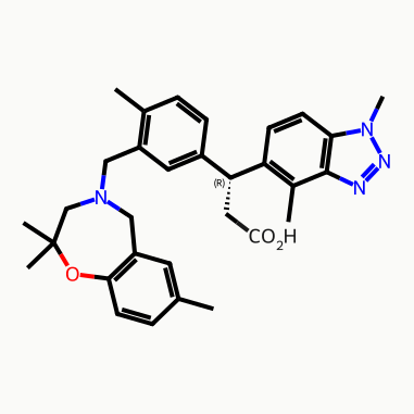 Cc1ccc2c(c1)CN(Cc1cc([C@@H](CC(=O)O)c3ccc4c(nnn4C)c3C)ccc1C)CC(C)(C)O2